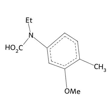 CCN(C(=O)O)c1ccc(C)c(OC)c1